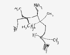 CC(C)CC(C)(C)C(N)C(C)(C)CC(C)(C)N